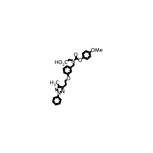 COc1ccc(OC(=O)N(CC(=O)O)Cc2cccc(OCCc3nn(-c4ccccc4)nc3C)c2)cc1